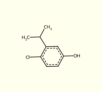 CC(C)c1cc(O)ccc1Cl